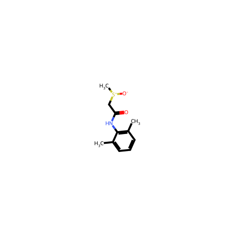 Cc1cccc(C)c1NC(=O)C[S+](C)[O-]